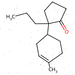 CCCC1(C2CC=C(C)CC2)CCCC1=O